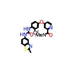 CNC(=O)c1cc(Oc2ccc(NC(=O)Nc3ccc4sc(C)nc4c3)c(C(F)(F)F)c2)ccn1